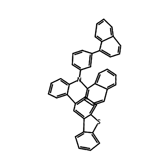 c1cc(-c2cccc3ccccc23)cc(N(c2ccccc2-c2ccc3sc4ccccc4c3c2)c2cccc3ccccc23)c1